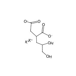 O=C([O-])CC(CC(O)CO)C(=O)[O-].[K+].[K+]